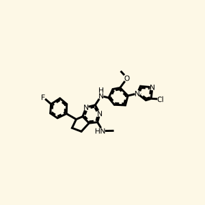 CNc1nc(Nc2ccc(-n3cnc(Cl)c3)c(OC)c2)nc2c1CCC2c1ccc(F)cc1